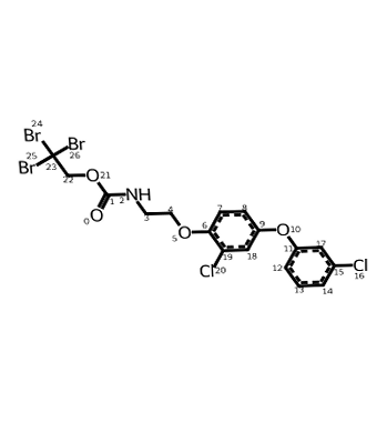 O=C(NCCOc1ccc(Oc2cccc(Cl)c2)cc1Cl)OCC(Br)(Br)Br